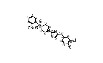 N#Cc1ccccc1S(=O)(=O)C1CCN(c2nc(Cc3ccc(Cl)c(Cl)c3)cs2)CC1